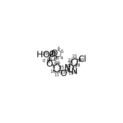 C[C@](C[C@@H]1CCCO1)(Oc1ccc(Oc2cnc3cc(Cl)ccc3n2)cc1)C(=O)O